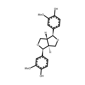 COc1cc([C@H]2OC[C@H]3[C@H]2CO[C@@H]3c2ccc(O)c(OC)c2)ccc1O